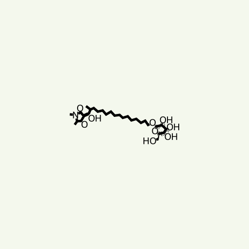 CC(CCCCCCCCCCCCCCO[C@@H]1O[C@H](CO)[C@@H](O)[C@H](O)[C@@H]1O)C(O)=C1C(=O)C(C)N(C)C1=O